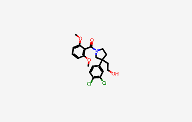 COc1cccc(OC)c1C(=O)N1CCC(CCO)(c2ccc(Cl)c(Cl)c2)C1